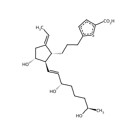 C/C=C1\C[C@@H](O)[C@H](/C=C/[C@@H](O)CCC[C@@H](C)O)[C@H]1CCCc1ccc(C(=O)O)s1